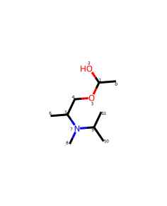 CC(O)OCC(C)N(C)C(C)C